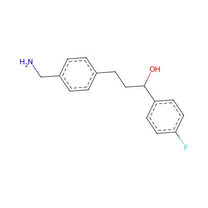 NCc1ccc(CC[C](O)c2ccc(F)cc2)cc1